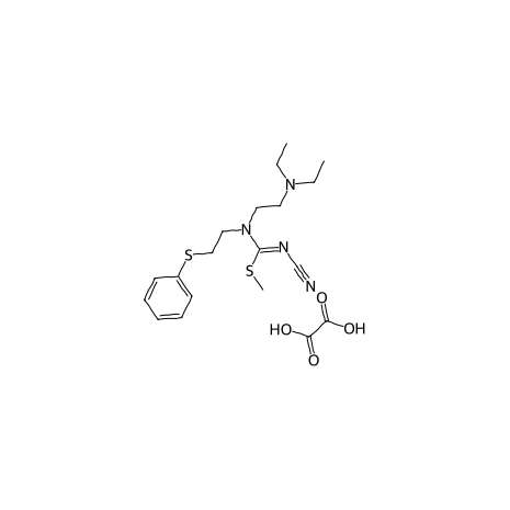 CCN(CC)CCN(CCSc1ccccc1)C(=NC#N)SC.O=C(O)C(=O)O